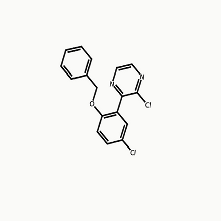 Clc1ccc(OCc2ccccc2)c(-c2nccnc2Cl)c1